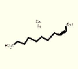 CCCCCCCC/C=C\CCCCCCCC(=O)O.[Co].[Fe]